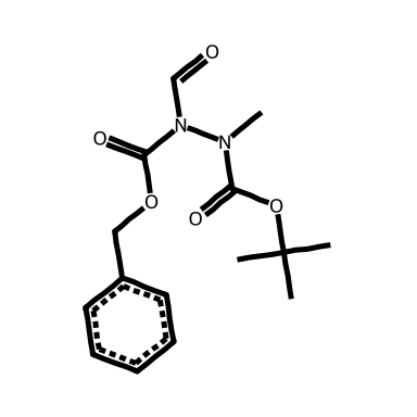 CN(C(=O)OC(C)(C)C)N(C=O)C(=O)OCc1ccccc1